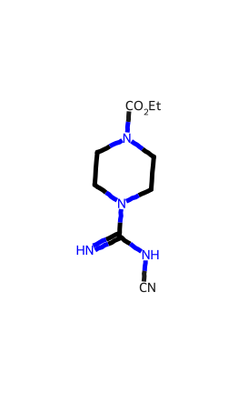 CCOC(=O)N1CCN(C(=N)NC#N)CC1